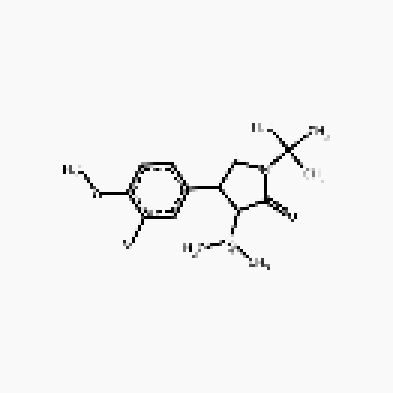 COc1ccc(C2CN(C(C)(C)C)C(=O)C2[SiH](C)C)cc1Br